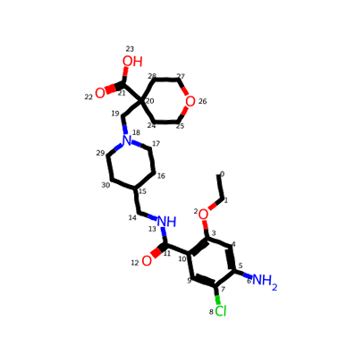 CCOc1cc(N)c(Cl)cc1C(=O)NCC1CCN(CC2(C(=O)O)CCOCC2)CC1